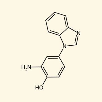 Nc1cc(-n2cnc3ccccc32)ccc1O